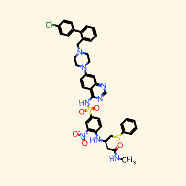 CNC(=O)C[C@H](CSc1ccccc1)Nc1ccc(S(=O)(=O)Nc2ncnc3cc(N4CCN(Cc5ccccc5-c5ccc(Cl)cc5)CC4)ccc23)cc1[N+](=O)[O-]